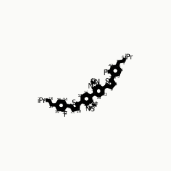 CC(C)CCc1ccc(-c2ccc(-c3ccc(-c4ccc(-c5ccc(-c6ccc(CCC(C)C)cc6F)s5)c5nsnc45)c4nsnc34)s2)c(F)c1